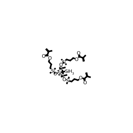 C=C(C)C(=O)OCCC[Si](C)(C)O[Si](C)(C)C([SiH3])([Si](C)(C)O[Si](C)(C)CCCOC(=O)C(=C)C)[Si](C)(C)O[Si](C)(C)CCCOC(=O)C(=C)C